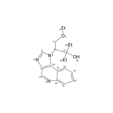 CCOCC(n1cnc2cnc3ccccc3c21)C(O)(CC)CC